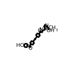 CC(O)c1nccn1Cc1cc(-c2ccc(C#Cc3ccc(C(=O)N4CCC(O)CC4)cc3)cc2)on1